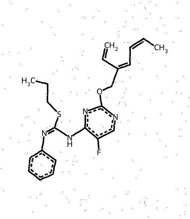 C=C/C(=C\C=C/C)COc1ncc(F)c(N/C(=N\c2ccccc2)SCCC)n1